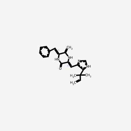 C=CC(C)(C)c1[nH]cnc1/C=C1\NC(=C)/C(=C/c2ccccc2)NC1=O